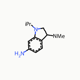 CNC1CN(C(C)C)c2cc(N)ccc21